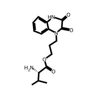 CC(C)[C@H](N)C(=O)OCCCn1c(=O)c(=O)[nH]c2ccccc21